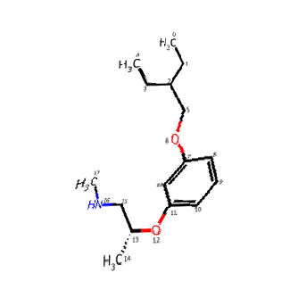 CCC(CC)COc1cccc(O[C@H](C)CNC)c1